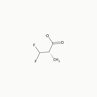 C[C@@H](C([O])=O)C(F)F